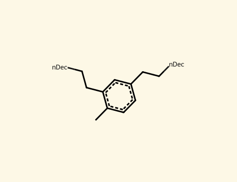 CCCCCCCCCCCCc1ccc(C)c(CCCCCCCCCCCC)c1